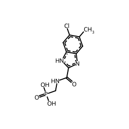 Cc1cc2nc(C(=O)NCP(=O)(O)O)[nH]c2cc1Cl